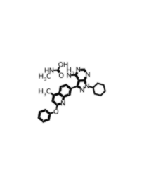 CNC(=O)O.Cc1cc(Oc2ccccc2)nc2cc(-c3nn(C4CCCCC4)c4ncnc(N)c34)ccc12